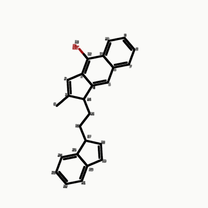 CC1=Cc2c(cc3ccccc3c2Br)C1CCC1C=Cc2ccccc21